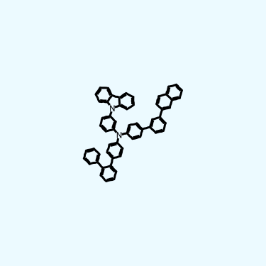 c1ccc(-c2ccccc2-c2ccc(N(c3ccc(-c4cccc(-c5ccc6ccccc6c5)c4)cc3)c3cccc(-n4c5ccccc5c5ccccc54)c3)cc2)cc1